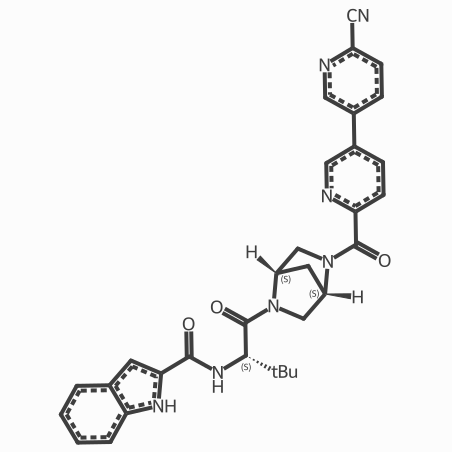 CC(C)(C)[C@H](NC(=O)c1cc2ccccc2[nH]1)C(=O)N1C[C@@H]2C[C@H]1CN2C(=O)c1ccc(-c2ccc(C#N)nc2)cn1